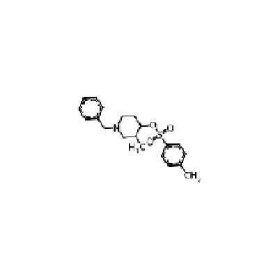 Cc1ccc(S(=O)(=O)OC2CCN(Cc3ccccc3)CC2C)cc1